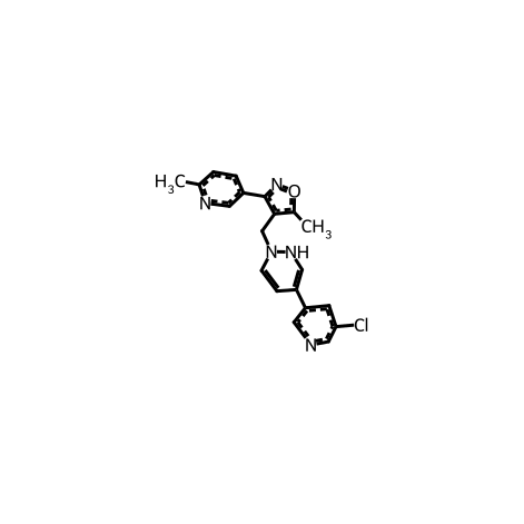 Cc1ccc(-c2noc(C)c2CN2C=CC(c3cncc(Cl)c3)=CN2)cn1